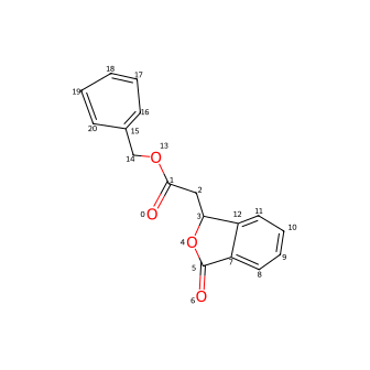 O=C(CC1OC(=O)c2ccccc21)OCc1ccccc1